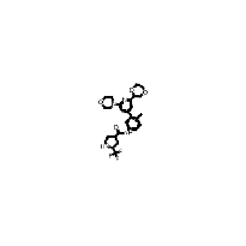 Cc1ccc(NC(=O)C2CCNC(C(F)(F)F)C2)cc1-c1cc(C2COCCO2)nc(N2CCOCC2)c1